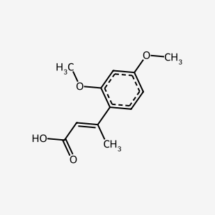 COc1ccc(/C(C)=C/C(=O)O)c(OC)c1